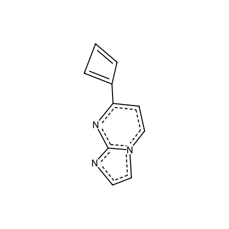 C1=CC(c2ccn3ccnc3n2)=C1